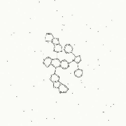 C1=Cc2sc3ccc(-c4c5ccccc5c(-c5ccc6sc7ccccc7c6c5)c5ccc(-n6c(-c7ccccc7)ccc6-c6ccccc6)cc45)cc3c2CC1